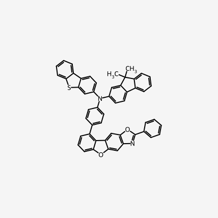 CC1(C)c2ccccc2-c2ccc(N(c3ccc(-c4cccc5oc6cc7nc(-c8ccccc8)oc7cc6c45)cc3)c3ccc4c(c3)sc3ccccc34)cc21